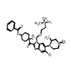 CCN1CCN(c2cc3c(cc2Cl)nc(C(=O)C2(C)CCC(OC(=O)c4ccccc4)CC2)n3COCC[Si](C)(C)C)C(C)C1